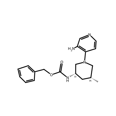 C[C@@H]1C[C@H](NC(=O)OCc2ccccc2)CN(c2ccncc2N)C1